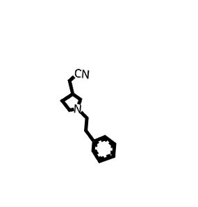 N#CCC1CCN(CCc2ccccc2)C1